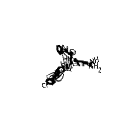 CC(C)C[C@H](NC(=O)OC1CCN(S(=O)(=O)c2ccc(Cl)cc2)CC1)C(=O)N[C@@H](CCCNC(=N)N)C(=O)c1nc2ccccc2s1